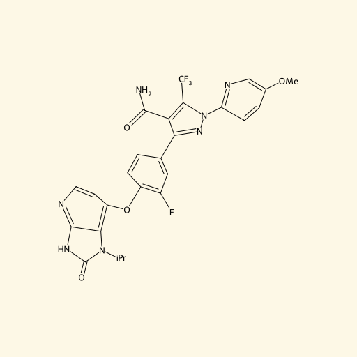 COc1ccc(-n2nc(-c3ccc(Oc4ccnc5[nH]c(=O)n(C(C)C)c45)c(F)c3)c(C(N)=O)c2C(F)(F)F)nc1